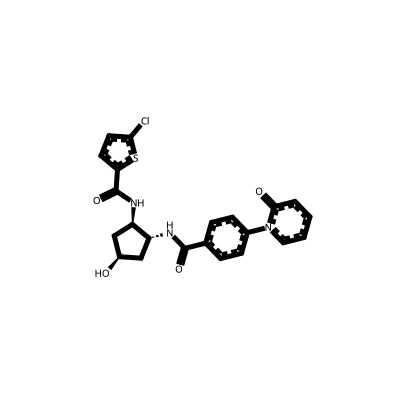 O=C(N[C@@H]1C[C@@H](O)C[C@H]1NC(=O)c1ccc(Cl)s1)c1ccc(-n2ccccc2=O)cc1